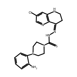 Nc1ccccc1N1CCN(C(=S)N/N=C2/CCNc3cc(Cl)cnc32)CC1